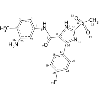 Cc1ccc(NC(=O)c2[nH]c(S(C)(=O)=O)nc2-c2ccc(F)cc2)cc1N